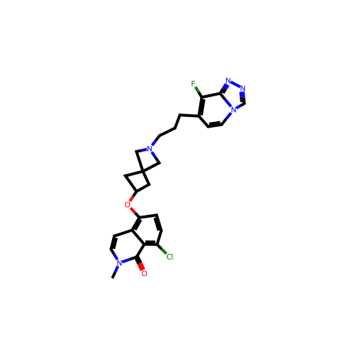 Cn1ccc2c(OC3CC4(C3)CN(CCCc3ccn5cnnc5c3F)C4)ccc(Cl)c2c1=O